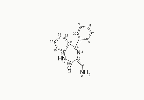 N/C=C1/N=C(c2ccccc2)c2ccccc2NC1=O